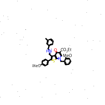 CCOC(=O)c1cn(Cc2ccccc2OC)c2sc(-c3ccc(OC)cc3)c(CNCc3cccc(C)c3)c2c1=O